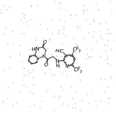 N#Cc1c(C(F)(F)F)cc(C(F)(F)F)nc1NCC(=O)N1CC(=O)Nc2ccccc21